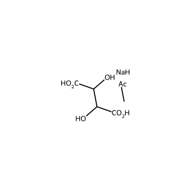 CC(C)=O.O=C(O)C(O)C(O)C(=O)O.[NaH]